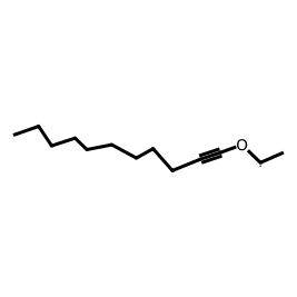 C[CH]OC#CCCCCCCCCC